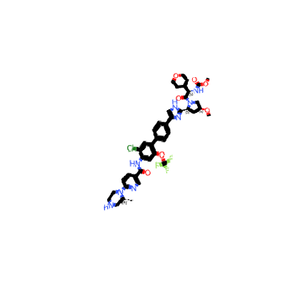 COC(=O)N[C@H](C(=O)N1C[C@@H](OC)C[C@H]1c1nc(-c2ccc(-c3cc(Cl)c(NC(=O)c4ccc(N5CCNC[C@H]5C)nc4)cc3OC(F)(F)F)cc2)c[nH]1)C1CCOCC1